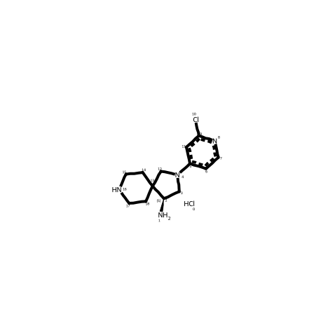 Cl.N[C@@H]1CN(c2ccnc(Cl)c2)CC12CCNCC2